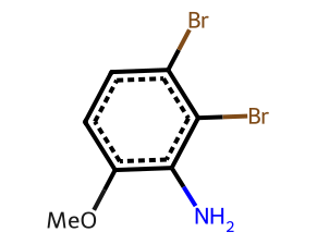 COc1ccc(Br)c(Br)c1N